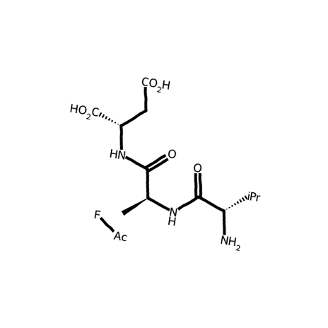 CC(=O)F.CC(C)[C@H](N)C(=O)N[C@@H](C)C(=O)N[C@@H](CC(=O)O)C(=O)O